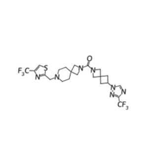 O=C(N1CC2(CCN(Cc3nc(C(F)(F)F)cs3)CC2)C1)N1CC2(CC(n3cnc(C(F)(F)F)n3)C2)C1